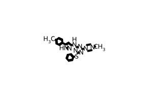 Cc1ccc(-c2cc(Nc3nc(Sc4ccccc4)nc(N4CCN(C)CC4)n3)n[nH]2)cc1